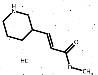 COC(=O)C=CC1CCCNC1.Cl